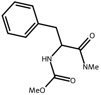 CNC(=O)C(Cc1ccccc1)NC(=O)OC